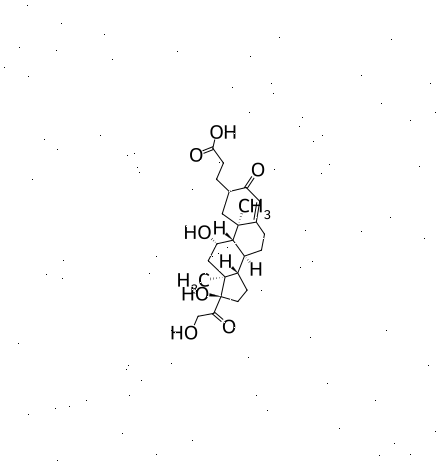 C[C@]12CC(CCC(=O)O)C(=O)C=C1CC[C@@H]1[C@@H]2[C@@H](O)C[C@@]2(C)[C@H]1CC[C@]2(O)C(=O)CO